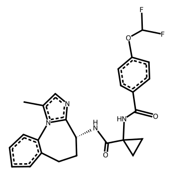 Cc1cnc2n1-c1ccccc1CC[C@H]2NC(=O)C1(NC(=O)c2ccc(OC(F)F)cc2)CC1